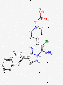 Nc1c(Br)c(C2CCN(CC(=O)O)CC2)nc2c(-c3cnc4ccccc4c3)cnn12